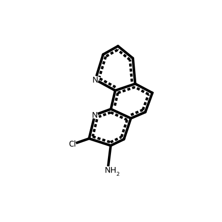 Nc1cc2ccc3cccnc3c2nc1Cl